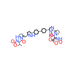 COC(=O)NC(C(=O)N1CCC[C@H]1Cc1ccc(-c2ccc(-c3ccc(-c4cnc([C@@H]5CCCN5C(=O)[C@@H](NC(=O)OC)[C@@H](C)OC)[nH]4)cc3)cc2)[nH]1)C(C)C